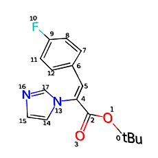 CC(C)(C)OC(=O)C(=Cc1ccc(F)cc1)n1ccnc1